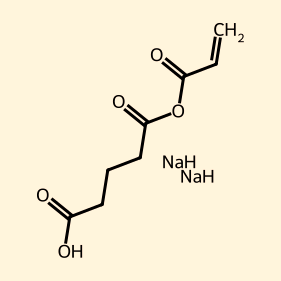 C=CC(=O)OC(=O)CCCC(=O)O.[NaH].[NaH]